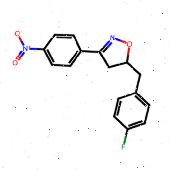 O=[N+]([O-])c1ccc(C2=NOC(Cc3ccc(F)cc3)C2)cc1